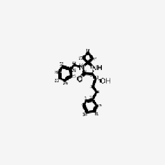 O=C1[C@H]([C@H](O)CCc2ccccc2)NC2(CCC2)N1Cc1ccccc1